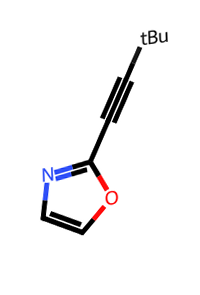 CC(C)(C)C#Cc1ncco1